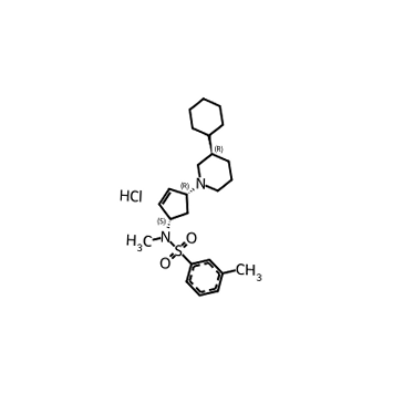 Cc1cccc(S(=O)(=O)N(C)[C@@H]2C=C[C@H](N3CCC[C@H](C4CCCCC4)C3)C2)c1.Cl